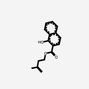 C=C(C)CCOC(=O)c1ccc2ccccc2c1O